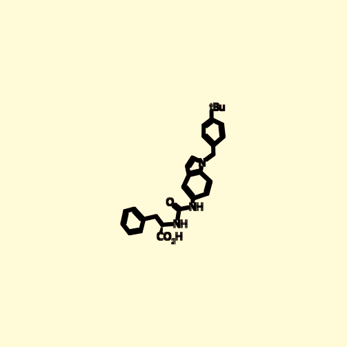 CC(C)(C)c1ccc(Cn2ccc3cc(NC(=O)N[C@@H](Cc4ccccc4)C(=O)O)ccc32)cc1